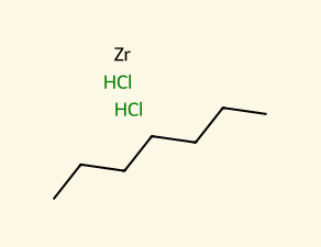 CCCCCCC.Cl.Cl.[Zr]